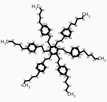 CCCCCc1ccc(CCc2c(CCc3ccc(CCCCC)cc3)c(CCc3ccc(CCCCC)cc3)c(CCc3ccc(CCCCC)cc3)c(CCc3ccc(CCCCC)cc3)c2CCc2ccc(CCCCC)cc2)cc1